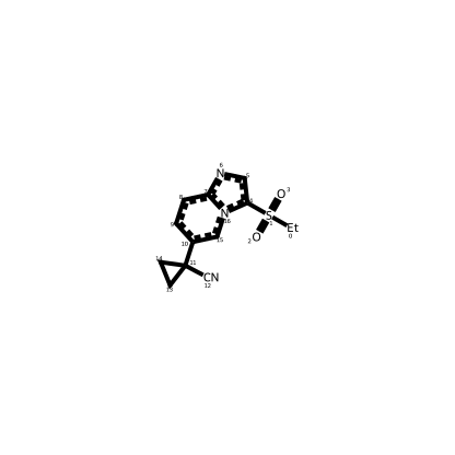 CCS(=O)(=O)c1cnc2ccc(C3(C#N)CC3)cn12